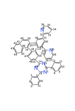 c1ccc(-c2nc(-c3ccccc3)nc(-c3ccc(-c4c(-c5cc(-c6ccccn6)cc(-c6ccccn6)c5)ccc5ccccc45)cc3)n2)cc1